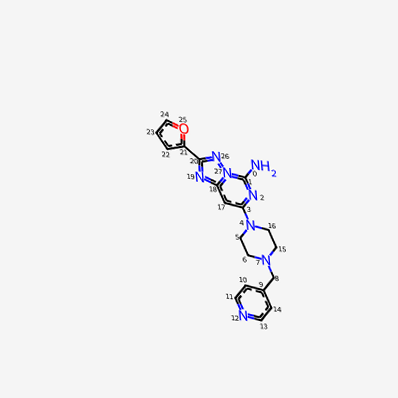 Nc1nc(N2CCN(Cc3ccncc3)CC2)cc2nc(-c3ccco3)nn12